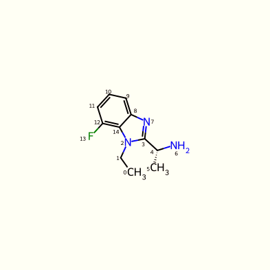 CCn1c([C@@H](C)N)nc2cccc(F)c21